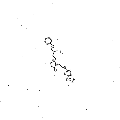 O=C(O)c1csc(SCCN2C(=O)CC[C@@H]2CCC(O)COc2ccccc2)n1